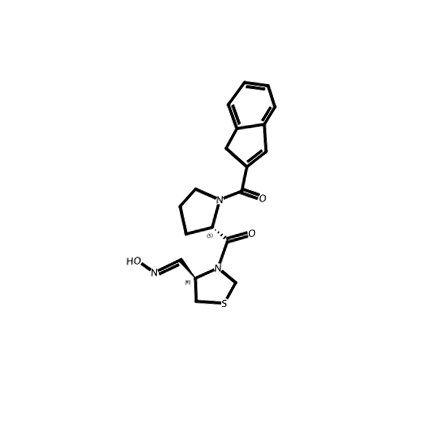 O=C([C@@H]1CCCN1C(=O)C1=Cc2ccccc2C1)N1CSC[C@H]1C=NO